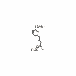 CCCCOC(=O)CCCc1cccc(OC)c1